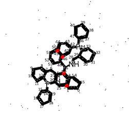 c1ccc(C(NCc2ccccc2P(c2ccccc2)c2ccccc2)[C@H](NCc2ccccc2P(c2ccccc2)c2ccccc2)c2ccccc2)cc1